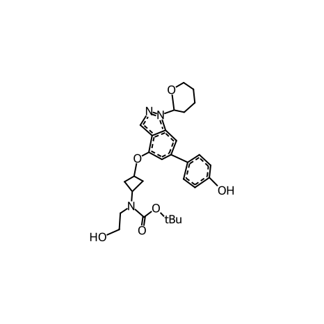 CC(C)(C)OC(=O)N(CCO)C1CC(Oc2cc(-c3ccc(O)cc3)cc3c2cnn3C2CCCCO2)C1